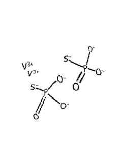 O=P([O-])([O-])[S-].O=P([O-])([O-])[S-].[V+3].[V+3]